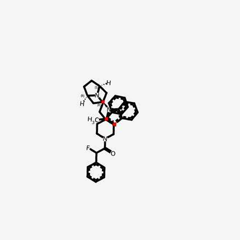 Cc1nc2ccccc2n1[C@H]1C[C@H]2CC[C@@H](C1)N2CCC1(c2ccccc2)CCN(C(=O)C(F)c2ccccc2)CC1